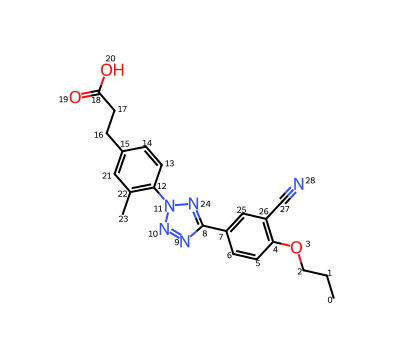 CCCOc1ccc(-c2nnn(-c3ccc(CCC(=O)O)cc3C)n2)cc1C#N